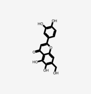 O=c1cc(-c2ccc(O)c(O)c2)oc2cc(CO)c(O)c(O)c12